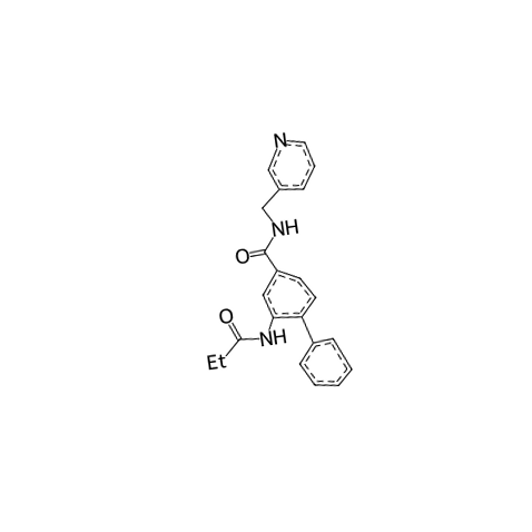 CCC(=O)Nc1cc(C(=O)NCc2cccnc2)ccc1-c1ccccc1